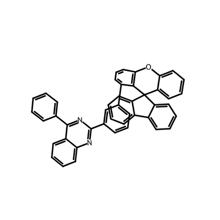 c1ccc(-c2nc(-c3cccc(-c4cccc5c4C4(c6ccccc6O5)c5ccccc5-c5ccccc54)c3)nc3ccccc23)cc1